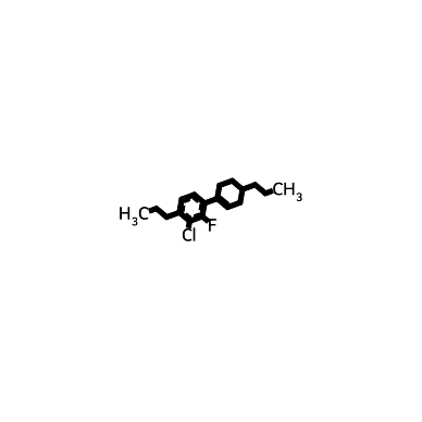 CCCc1ccc(C2=CCC(CCC)CC2)c(F)c1Cl